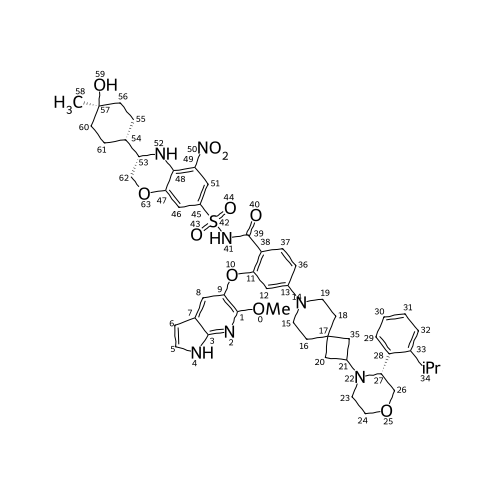 COc1nc2[nH]ccc2cc1Oc1cc(N2CCC3(CC2)CC(N2CCOC[C@H]2c2ccccc2C(C)C)C3)ccc1C(=O)NS(=O)(=O)c1cc2c(c([N+](=O)[O-])c1)N[C@@H]([C@H]1CC[C@](C)(O)CC1)CO2